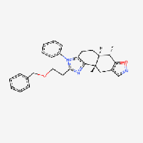 C[C@@H]1c2oncc2C[C@]2(C)c3nc(CCOCc4ccccc4)n(-c4ccccc4)c3CC[C@@H]12